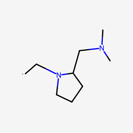 [CH2]CN1CCCC1CN(C)C